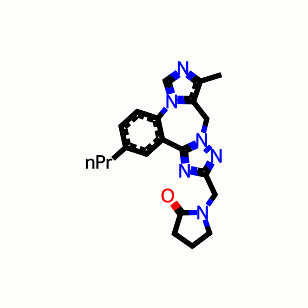 CCCc1ccc2c(c1)-c1nc(CN3CCCC3=O)nn1Cc1c(C)ncn1-2